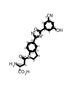 N#Cc1cc(O)cc(-c2nc(-c3ccc4c(c3)CCN4C(=O)C[C@@H](N)C(=O)O)no2)c1